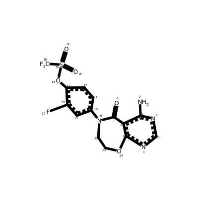 Nc1ncnc2c1C(=O)N(c1ccc(OS(=O)(=O)C(F)(F)F)c(F)c1)CCO2